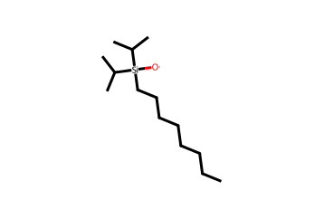 CCCCCCCC[Si]([O])(C(C)C)C(C)C